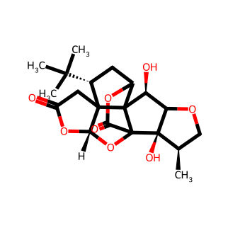 C[C@@H]1COC2[C@H](O)C34C5C[C@@H](C(C)(C)C)C36CC(=O)O[C@H]6OC4(C(=O)O5)[C@]21O